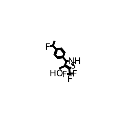 CC(F)c1ccc(C2NSC(C(F)(F)F)=C2CO)cc1